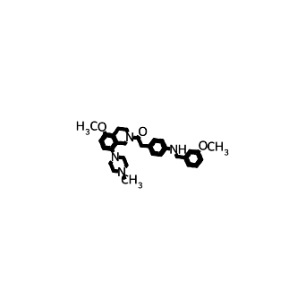 COc1cccc(CNc2ccc(CC(=O)N3CCc4c(OC)ccc(N5CCN(C)CC5)c4C3)cc2)c1